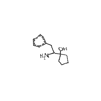 NC(Cc1ccccc1)C1(O)CCCC1